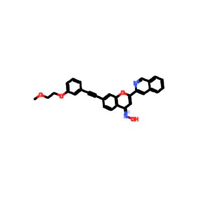 COCCOc1cccc(C#Cc2ccc3/c(=N/O)cc(-c4cc5ccccc5cn4)oc3c2)c1